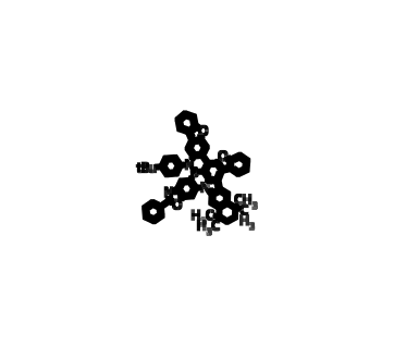 CC(C)(C)c1ccc(N2B3c4cc5nc(-c6ccccc6)oc5cc4-n4c5cc6c(cc5c5c7c(oc8ccccc87)c(c3c54)-c3cc4oc5ccccc5c4cc32)C(C)(C)CCC6(C)C)cc1